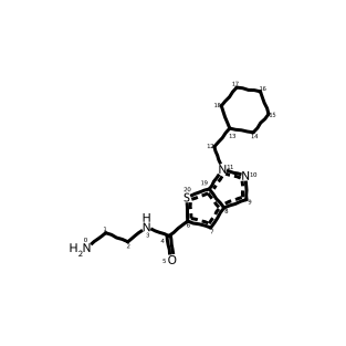 NCCNC(=O)c1cc2cnn(CC3CCCCC3)c2s1